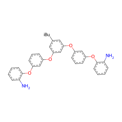 CCC(C)c1cc(Oc2cccc(Oc3ccccc3N)c2)cc(Oc2cccc(Oc3ccccc3N)c2)c1